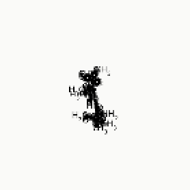 COc1ccc(C(OC[C@H](COCCOCCNC(=O)CO[C@@H]2O[C@H](COC(C)=O)[C@H](OC(C)=O)[C@H](OC(C)=O)[C@H]2CC(N)=O)OP(OCCC#N)N(C(C)C)C(C)C)(c2ccccc2)c2ccc(OC)cc2)cc1